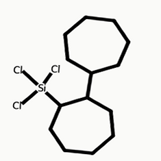 Cl[Si](Cl)(Cl)C1CCCCCC1C1CCCCCC1